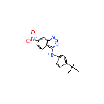 CC(C)(C)c1ccc(Nc2ncnc3cc([N+](=O)[O-])ccc23)cc1